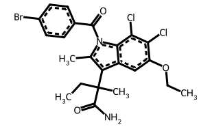 CCOc1cc2c(C(C)(CC)C(N)=O)c(C)n(C(=O)c3ccc(Br)cc3)c2c(Cl)c1Cl